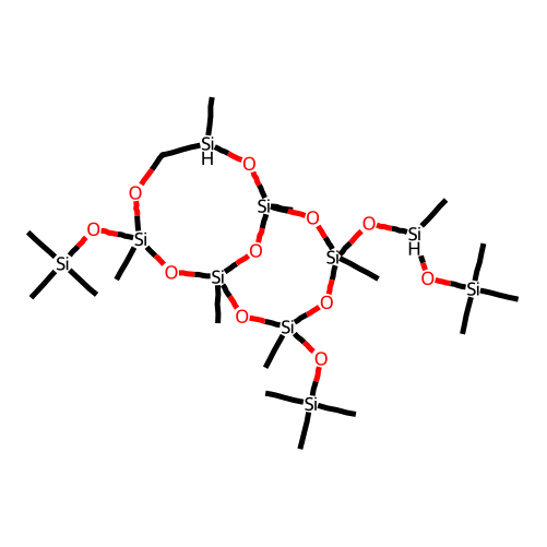 C[SiH]1CO[Si](C)(O[Si](C)(C)C)O[Si]2(C)O[Si](C)(O1)O[Si](C)(O[SiH](C)O[Si](C)(C)C)O[Si](C)(O[Si](C)(C)C)O2